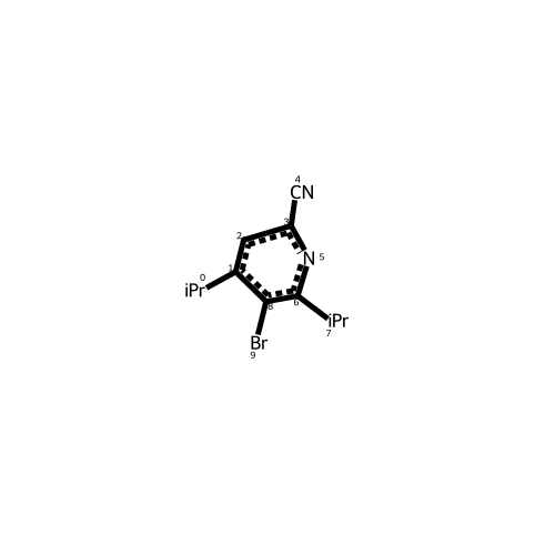 CC(C)c1cc(C#N)nc(C(C)C)c1Br